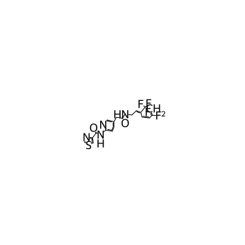 C=C(F)/C=C\C(=C/CNC(=O)Cc1ccc(NC(=O)c2cscn2)nc1)C(F)(F)F